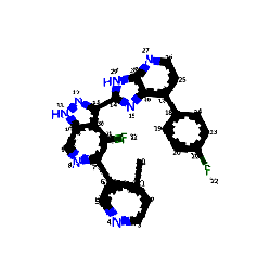 Cc1ccncc1-c1ncc2[nH]nc(-c3nc4c(-c5ccc(F)cc5)ccnc4[nH]3)c2c1F